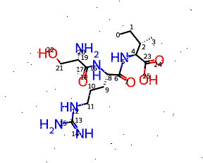 CC[C@H](C)[C@H](NC(=O)[C@H](CCCNC(=N)N)NC(=O)[C@@H](N)CO)C(=O)O